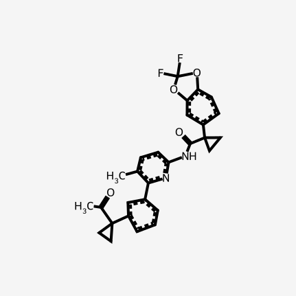 CC(=O)C1(c2cccc(-c3nc(NC(=O)C4(c5ccc6c(c5)OC(F)(F)O6)CC4)ccc3C)c2)CC1